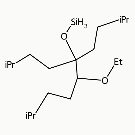 CCOC(CCC(C)C)C(CCC(C)C)(CCC(C)C)O[SiH3]